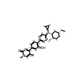 CC[C@@H]1CC[C@H](F)[C@H](N(c2cnc(-c3ccc(-c4nc(=O)n(C)cc4F)cc3O)nn2)C2CC2)C1